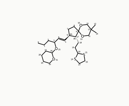 CCCC(C=C[C@H]1CCC2(OCC(C)(C)CO2)[C@@H]1CCC1SCCS1)OC1CCCCO1